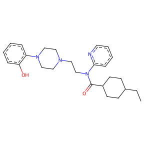 CCC1CCC(C(=O)N(CCN2CCN(c3ccccc3O)CC2)c2ccccn2)CC1